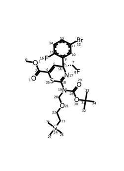 COC(=O)C1=C[C@@](CF)(c2cc(Br)ccc2F)N=C(N(COCC[Si](C)(C)C)C(=O)OC(C)(C)C)S1